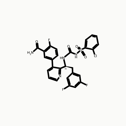 NC(=O)c1cc(-c2cccnc2[C@H](Cc2cc(F)cc(F)c2)NC(=O)NS(=O)(=O)c2ccccc2Cl)ccc1F